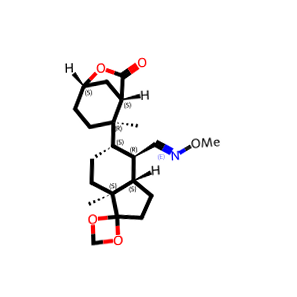 CO/N=C/[C@@H]1[C@@H]([C@@]2(C)CC[C@H]3C[C@@H]2C(=O)O3)CC[C@@]2(C)[C@H]1CCC21OCO1